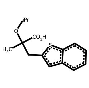 CC(C)OC(C)(Cc1cc2ccccc2s1)C(=O)O